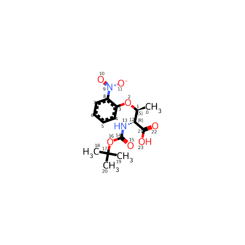 C[C@H](Oc1ccccc1[N+](=O)[O-])[C@@H](NC(=O)OC(C)(C)C)C(=O)O